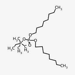 CCCCCCCCOP(=O)(OCCCCCCCC)OP(C)(C)(C)CC